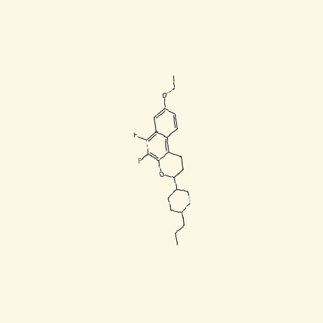 CCCC1CCC(C2CCc3c(c(F)c(F)c4cc(OCC)ccc34)O2)CC1